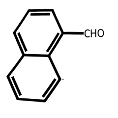 O=Cc1cccc2ccc[c]c12